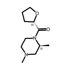 C[C@H]1CN(C)CCN1C(=O)[C@@H]1CCCO1